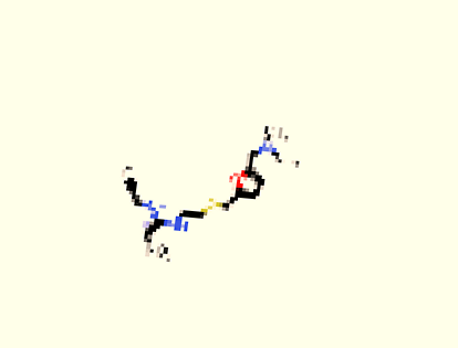 C#CCN/C(=C/[N+](=O)[O-])NCCSCc1ccc(CN(C)C)o1